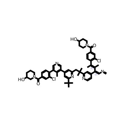 C=N/C=C(\C(C)=C(/C)c1ccc(C(=O)N2CCC(O)CC2)cc1Cl)c1ccnc(C(C)(C)Cc2cc(-c3cncc(-c4ccc(C(=O)N5CCCC(O)C5)cc4Cl)c3C)cc(C(C)(C)C)n2)c1